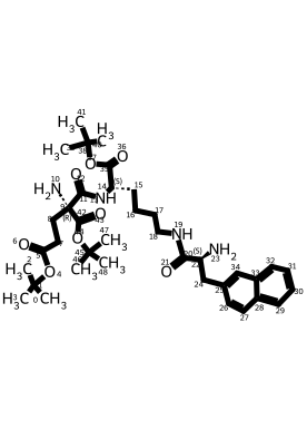 CC(C)(C)OC(=O)CC[C@@](N)(C(=O)N[C@@H](CCCCNC(=O)[C@@H](N)Cc1ccc2ccccc2c1)C(=O)OC(C)(C)C)C(=O)OC(C)(C)C